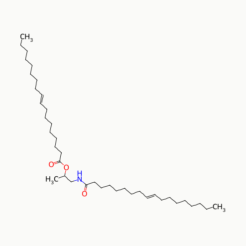 CCCCCCCCC=CCCCCCCCC(=O)NCC(C)OC(=O)CCCCCCCC=CCCCCCCCC